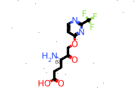 N[C@@H](CCC(=O)O)C(=O)COc1ccnc(C(F)(F)F)n1